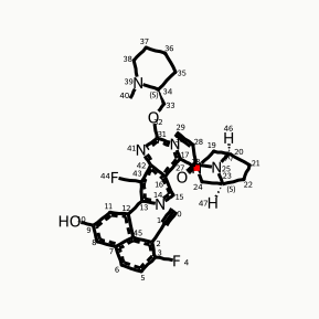 C#Cc1c(F)ccc2cc(O)cc(-c3ncc4c(N5C[C@H]6CC[C@@H](C5)N6C(=O)C=C)nc(OC[C@@H]5CCCCN5C)nc4c3F)c12